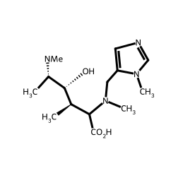 CN[C@@H](C)[C@H](O)[C@H](C)C(C(=O)O)N(C)Cc1cncn1C